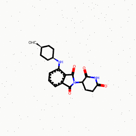 O=C[C@H]1CC[C@@H](Nc2cccc3c2C(=O)N(C2CCC(=O)NC2=O)C3=O)CC1